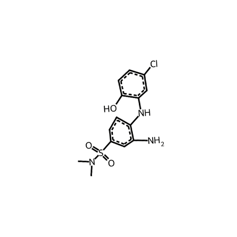 CN(C)S(=O)(=O)c1ccc(Nc2cc(Cl)ccc2O)c(N)c1